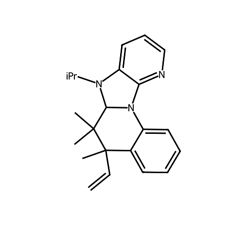 C=CC1(C)c2ccccc2N2c3ncccc3N(C(C)C)C2C1(C)C